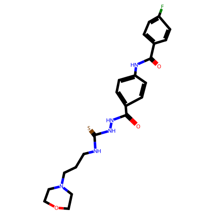 O=C(NNC(=S)NCCCN1CCOCC1)c1ccc(NC(=O)c2ccc(F)cc2)cc1